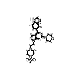 CS(=O)(=O)N1CCN(CCn2ncc3c(-c4ccc5[nH]cnc5c4)nc(N4CCOCC4)nc32)CC1